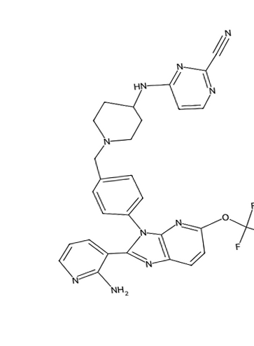 N#Cc1nccc(NC2CCN(Cc3ccc(-n4c(-c5cccnc5N)nc5ccc(OC(F)(F)F)nc54)cc3)CC2)n1